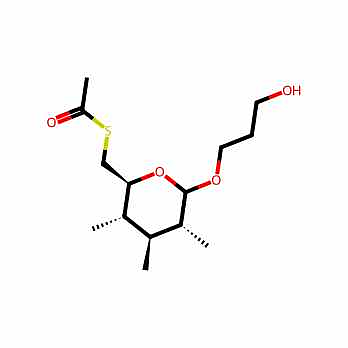 CC(=O)SC[C@H]1OC(OCCCO)[C@H](C)[C@@H](C)[C@@H]1C